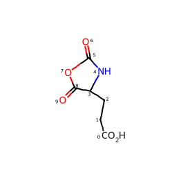 O=C(O)CCC1NC(=O)OC1=O